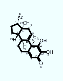 CC(=O)[C@H]1CC[C@H]2[C@@H]3CCC4=CC(=O)C(O)=C(O)[C@]4(C)C3=CC[C@]12C